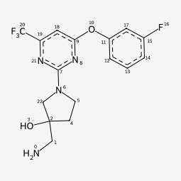 NCC1(O)CCN(c2nc(Oc3cccc(F)c3)cc(C(F)(F)F)n2)C1